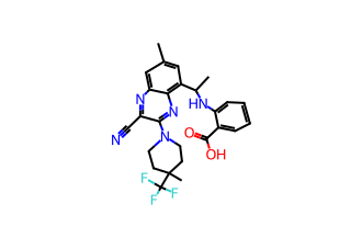 Cc1cc(C(C)Nc2ccccc2C(=O)O)c2nc(N3CCC(C)(C(F)(F)F)CC3)c(C#N)nc2c1